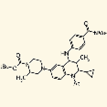 CNC(=O)c1ccc(NC2c3cc(N4CCN(C(=O)OC(C)(C)C)C(C)C4)ccc3N(C(C)=O)C(C3CC3)C2C)cc1